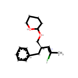 C/C(F)=C/[C@H](COC1CCCCO1)Cc1ccccc1